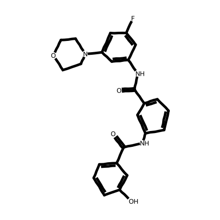 O=C(Nc1cccc(C(=O)Nc2cc(F)cc(N3CCOCC3)c2)c1)c1cccc(O)c1